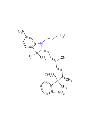 C=C(/C=C/C(C#N)=C/C=C1/N(CCC(=O)O)c2cc([N+](=O)[O-])ccc2C1(C)C)C(C)(C)c1c(C)cccc1[N+](=O)[O-]